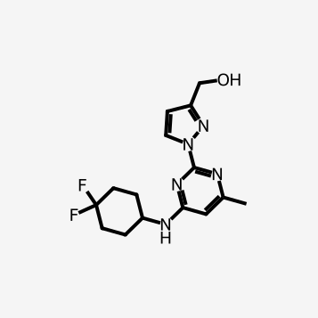 Cc1cc(NC2CCC(F)(F)CC2)nc(-n2ccc(CO)n2)n1